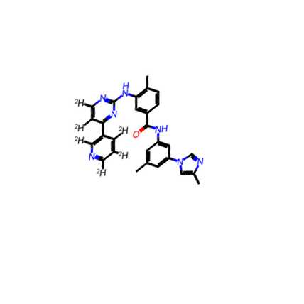 [2H]c1nc(Nc2cc(C(=O)Nc3cc(C)cc(-n4cnc(C)c4)c3)ccc2C)nc(-c2c([2H])nc([2H])c([2H])c2[2H])c1[2H]